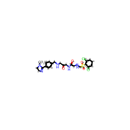 O=C(CNCc1ccc(C2=NCCN2C(=O)O)cc1)CNC(=O)CNCS(=O)(=O)c1c(Cl)cccc1Cl